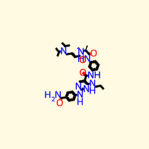 CCCNc1nc(Nc2ccc(C(N)=O)cc2)ncc1C(=O)Nc1cccc(NC(=O)[C@H](C)N(C)C(=O)/C=C/CN(C(C)C)C(C)C)c1